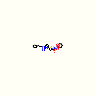 O=C(NOC1CCCCO1)c1ccc(-c2cccc(NCCCc3ccccc3)n2)s1